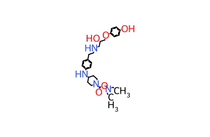 CCN(CC)OC(=O)N1CCC(Nc2ccc(CCNCC(O)COc3ccc(O)cc3)cc2)CC1